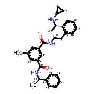 Cc1cc(C(=O)N[C@H](CCNC2CC2)Cc2ccccc2)cc(C(=O)N[C@H](C)c2ccccc2)c1